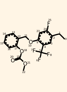 CCc1cc(C(F)(F)F)c(OCc2ccccc2OC(=O)OC)cc1F